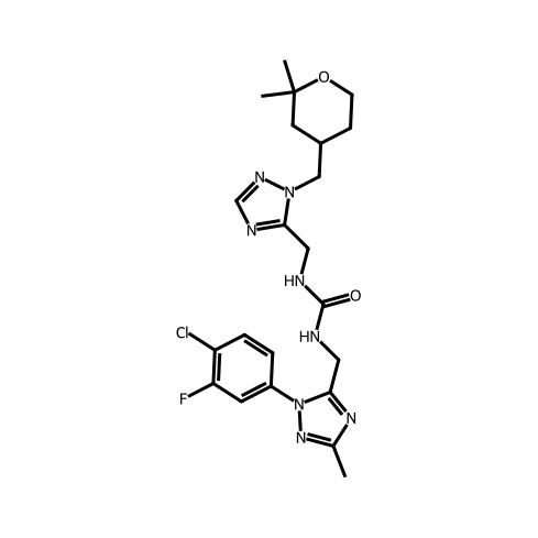 Cc1nc(CNC(=O)NCc2ncnn2CC2CCOC(C)(C)C2)n(-c2ccc(Cl)c(F)c2)n1